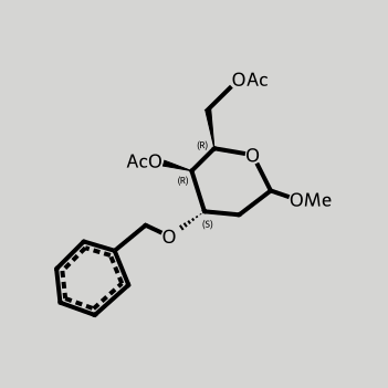 COC1C[C@H](OCc2ccccc2)[C@@H](OC(C)=O)[C@@H](COC(C)=O)O1